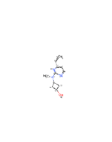 C=Cc1ccnc(N(C)C2CC(O)C2)n1